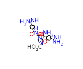 N=C(N)c1ccc(C(=O)NCC(=O)N2CCN(CC(=O)O)C(=O)[C@@H]2C(C(N)=O)c2ccc(C(=N)N)cc2)cc1